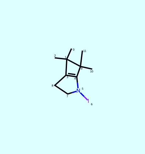 CC1(C)C2=C(N(I)CC2)C1(C)C